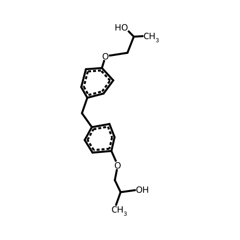 CC(O)COc1ccc(Cc2ccc(OCC(C)O)cc2)cc1